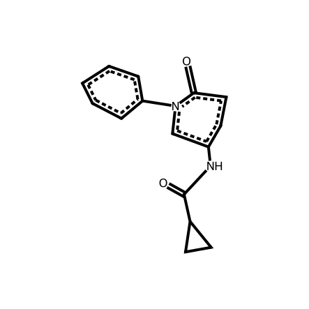 O=C(Nc1ccc(=O)n(-c2ccccc2)c1)C1CC1